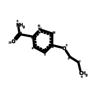 CCCOc1ccc(C(N)=O)nc1